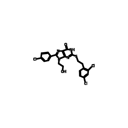 O=c1[nH]c(SCCc2ccc(Cl)cc2Cl)nc2c1nc(-c1ccc(Cl)cc1)n2CCO